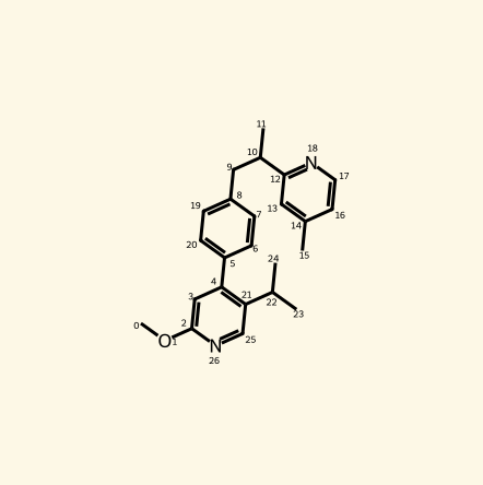 COc1cc(-c2ccc(CC(C)c3cc(C)ccn3)cc2)c(C(C)C)cn1